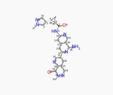 Cn1cc([C@@H]2C[C@H]2C(=O)Nc2cc3cc(-c4cnc5c(=O)n(C)ncc5c4)nc(N)c3cn2)cn1